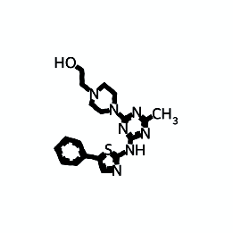 Cc1nc(Nc2ncc(-c3ccccc3)s2)nc(N2CCN(CCO)CC2)n1